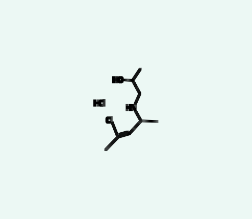 CC(Cl)=CC(C)NCC(C)O.Cl